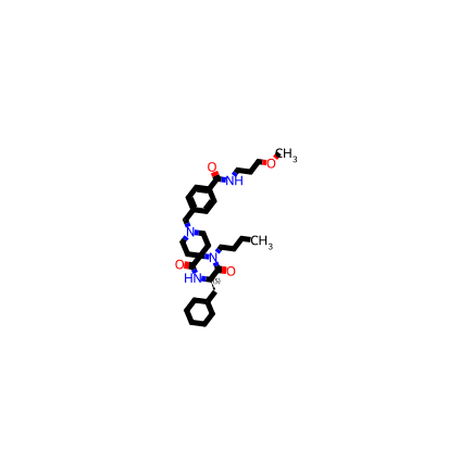 CCCCN1C(=O)[C@H](CC2CCCCC2)NC(=O)C12CCN(Cc1ccc(C(=O)NCCCOC)cc1)CC2